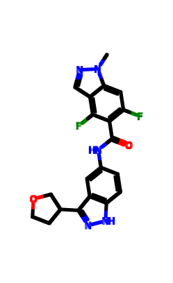 Cn1ncc2c(F)c(C(=O)Nc3ccc4[nH]nc(C5CCOC5)c4c3)c(F)cc21